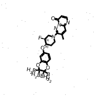 BC1(B)Oc2ccc(O[C@@H]3CCN(c4nn5c(=O)ccnc5cc4C)C[C@@H]3F)cc2OC1(B)B